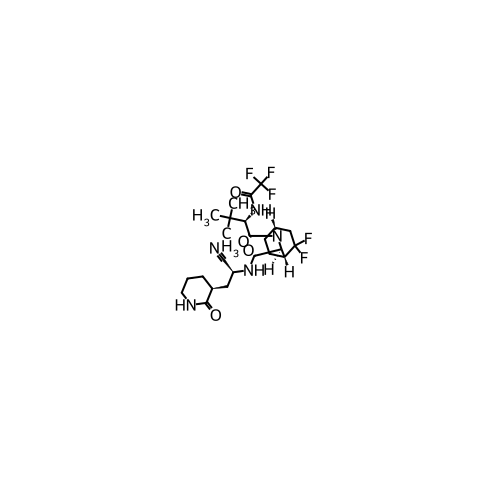 CC(C)(C)[C@@H](NC(=O)C(F)(F)F)C(=O)N1[C@@H]2CC[C@H]([C@H]1C(=O)N[C@H](C#N)C[C@@H]1CCCNC1=O)C(F)(F)C2